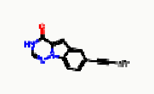 CCCC#Cc1ccc2c(c1)cc1c(=O)[nH]cnn12